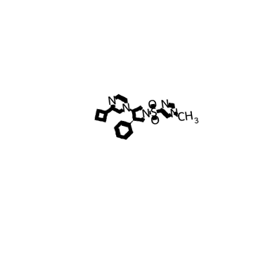 Cn1cnc(S(=O)(=O)N2C[C@H](c3ccccc3)[C@@H](N3C=CN=C(C4CCC4)C3)C2)c1